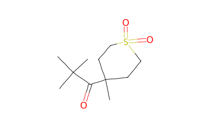 CC(C)(C)C(=O)C1(C)CCS(=O)(=O)CC1